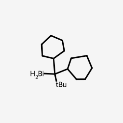 CC(C)(C)[C]([BiH2])(C1CCCCC1)C1CCCCC1